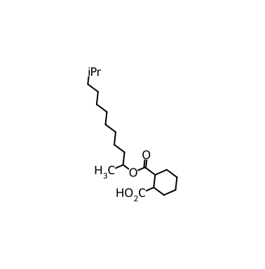 CC(C)CCCCCCCCC(C)OC(=O)C1CCCCC1C(=O)O